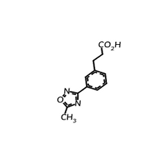 Cc1nc(-c2cccc(CCC(=O)O)c2)no1